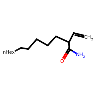 C=CC(CCCCCCCCCCC)C(N)=O